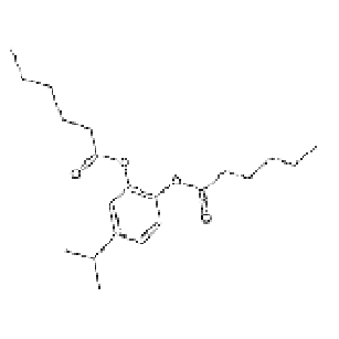 CCCCCC(=O)Oc1ccc(C(C)C)cc1OC(=O)CCCCC